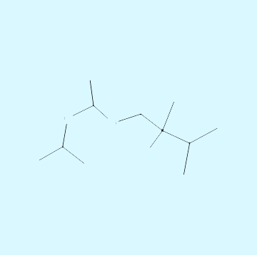 CC(C)OC(C)OCC(C)(C)C(C)C